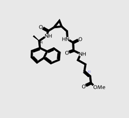 COC(=O)/C=C/CCNC(=O)C(=O)NCC1CC1C(=O)N[C@H](C)c1cccc2ccccc12